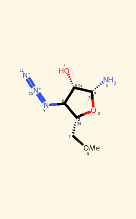 COC[C@H]1O[C@@H](N)[C@@H](O)C1N=[N+]=[N-]